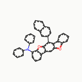 c1ccc(N(c2ccccc2)c2cccc3c2oc2c(-c4ccc5ccccc5c4)c4c(cc23)oc2ccccc24)cc1